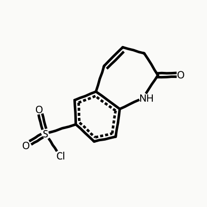 O=C1CC=Cc2cc(S(=O)(=O)Cl)ccc2N1